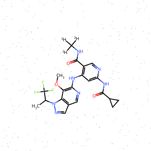 [2H]C([2H])([2H])NC(=O)c1cnc(NC(=O)C2CC2)cc1Nc1ncc2cnn(C(C)C(F)(F)F)c2c1OC